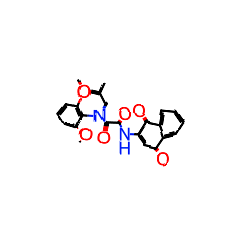 C=C(C)CN(C(=O)C(=O)NC1=CC(=O)c2ccccc2C1=O)c1c(OC)cccc1OC